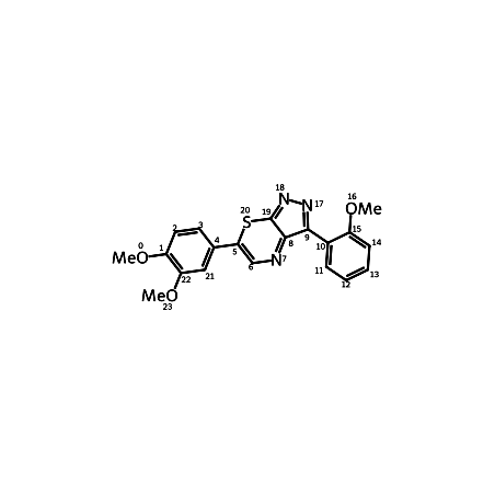 COc1ccc(-c2cnc3c(-c4ccccc4OC)nnc-3s2)cc1OC